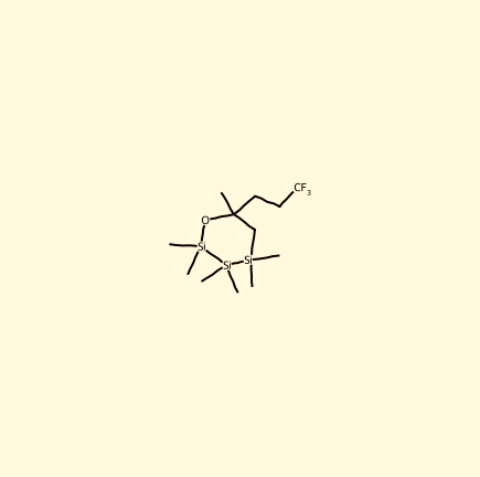 CC1(CCC(F)(F)F)C[Si](C)(C)[Si](C)(C)[Si](C)(C)O1